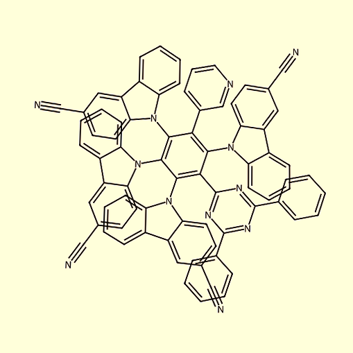 N#Cc1ccc2c(c1)c1ccccc1n2-c1c(-c2cccnc2)c(-n2c3ccccc3c3cc(C#N)ccc32)c(-n2c3ccccc3c3cc(C#N)ccc32)c(-n2c3ccccc3c3cc(C#N)ccc32)c1-c1nc(-c2ccccc2)nc(-c2ccccc2)n1